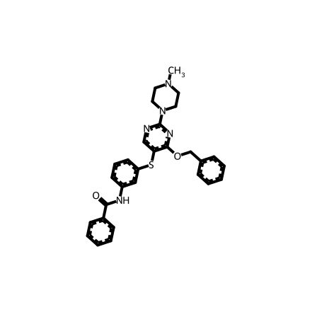 CN1CCN(c2ncc(Sc3cccc(NC(=O)c4ccccc4)c3)c(OCc3ccccc3)n2)CC1